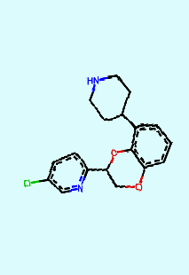 Clc1ccc(C2COc3cccc(C4CCNCC4)c3O2)nc1